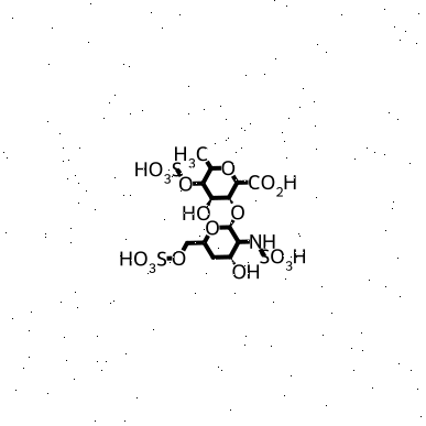 CC1OC(C(=O)O)[C@H](O[C@@H]2OC(COS(=O)(=O)O)C[C@@H](O)C2NS(=O)(=O)O)[C@@H](O)C1OS(=O)(=O)O